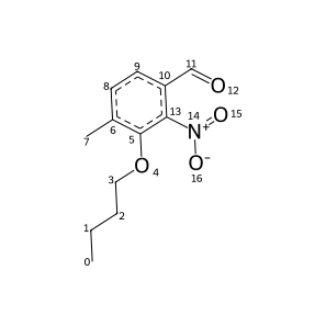 CCCCOc1c(C)ccc(C=O)c1[N+](=O)[O-]